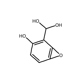 Oc1ccc2c(c1C(O)O)O2